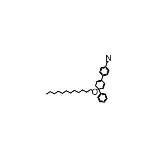 CCCCCCCCCCCCOC1(c2ccccc2)C=CC(c2ccc(C#N)cc2)=CC1